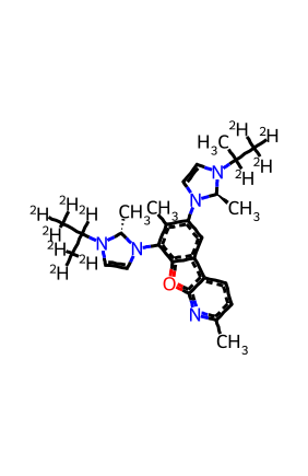 [2H]C([2H])([2H])C([2H])(C)N1C=CN(c2cc3c(oc4nc(C)ccc43)c(N3C=CN(C([2H])(C([2H])([2H])[2H])C([2H])([2H])[2H])[C@@H]3C)c2C)[C@@H]1C